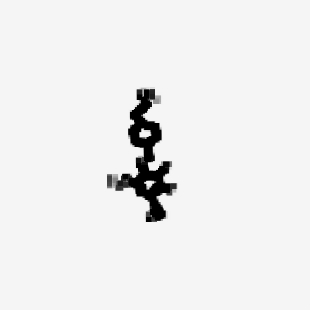 CCCC1CCC(COc2c(C)cc(C3CO3)c(F)c2F)CC1